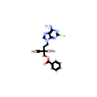 C#CC(CCn1cnc2c(N)nc(F)nc21)(COC(=O)c1ccccc1)OC